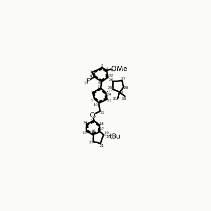 COc1ccc(F)c(-c2ccc(COc3ccc4c(c3)[C@H](C(C)(C)C)CC4)cc2[C@@H]2CCCC2(C)C)c1